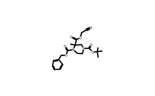 CC(C)(C)OC(=O)N1CCN(C(=O)OCc2ccccc2)C(C)(C(=O)OCC#N)C1